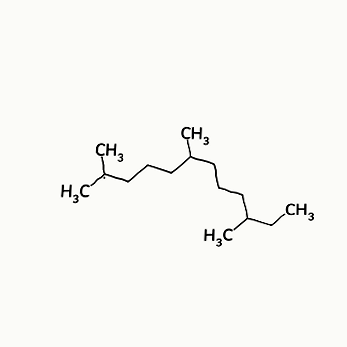 CCC(C)CCCC(C)CCC[C](C)C